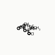 CNC[C@H](CC1CCCCC1)NC(=O)N1CCC[C@@H](C(OCC(=O)NC(C)C)c2cccc(Cl)c2)C1